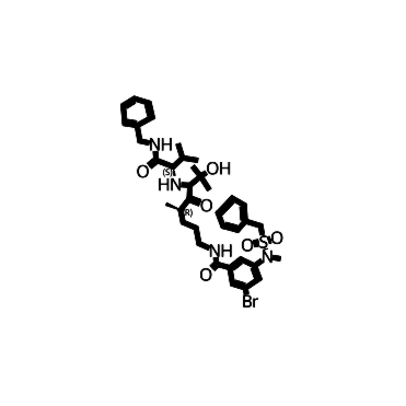 CC(C)[C@H](NC(C(=O)[C@H](C)CCCNC(=O)c1cc(Br)cc(N(C)S(=O)(=O)Cc2ccccc2)c1)C(C)(C)O)C(=O)NCc1ccccc1